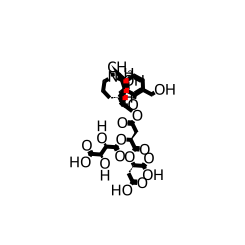 CN1CCC[C@]23c4c5ccc(CO)c4O[C@H]2C(OC(=O)C[C@H](OC(=O)[C@H](O)[C@@H](O)C(=O)O)C(=O)O[C@@H](CC(=O)O)C(=O)O)=CC[C@@]3(O)[C@H]1C5